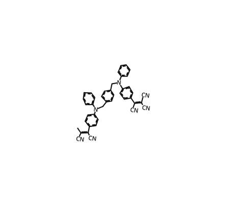 C/C(C#N)=C(/C#N)c1ccc(N(Cc2ccc(CN(c3ccccc3)c3ccc(C(C#N)=C(C#N)C#N)cc3)cc2)c2ccccc2)cc1